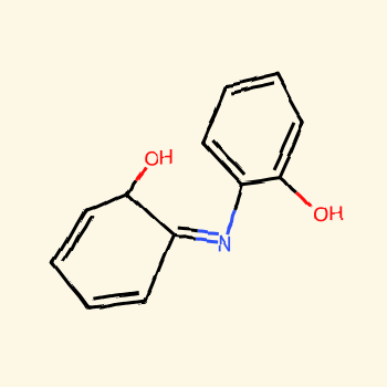 Oc1ccccc1/N=C1/C=CC=CC1O